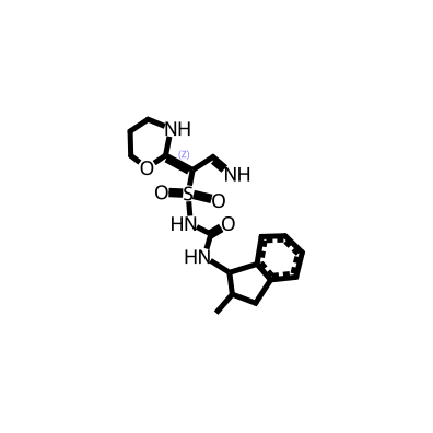 CC1Cc2ccccc2C1NC(=O)NS(=O)(=O)/C(C=N)=C1/NCCCO1